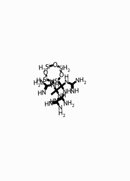 CC(NC(=N)N)(NC(=N)N)C(NC(=N)N)(NC(=N)N)[SiH]1O[SiH2]O[SiH2]O[SiH2]O1